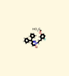 O=C(O)COc1ccc(F)c(CCCn2nc(C(c3ccccc3)c3ccccc3)ccc2=O)c1